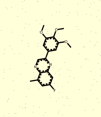 COc1cc(-c2cnc3c(C)cc(F)cc3n2)cc(OC)c1OC